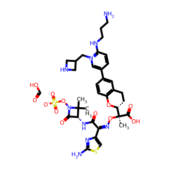 CC1(C)[C@H](NC(=O)/C(=N\O[C@](C)(C(=O)O)[C@H]2CCc3cc(-c4ccc(NCCCN)[n+](CC5CNC5)c4)ccc3O2)c2csc(N)n2)C(=O)N1OS(=O)(=O)[O-].O=CO